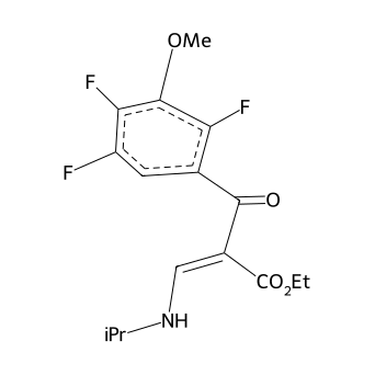 CCOC(=O)C(=CNC(C)C)C(=O)c1cc(F)c(F)c(OC)c1F